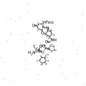 CCCCCc1cc(=O)cc2oc3cc(NC(=O)[C@@H]4CCCN4C(=O)[C@H](Cc4ccccc4)NC(=O)[C@H](C)N)ccc3nc1-2